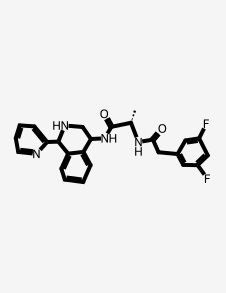 C[C@H](NC(=O)Cc1cc(F)cc(F)c1)C(=O)NC1CNC(c2ccccn2)c2ccccc21